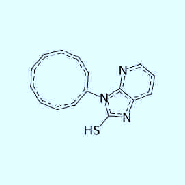 Sc1nc2cccnc2n1-c1ccccccccc1